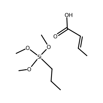 CC=CC(=O)O.CCC[Si](OC)(OC)OC